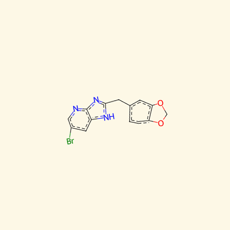 Brc1cnc2nc(Cc3ccc4c(c3)OCO4)[nH]c2c1